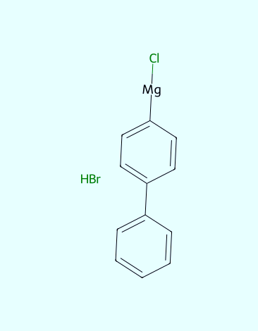 Br.[Cl][Mg][c]1ccc(-c2ccccc2)cc1